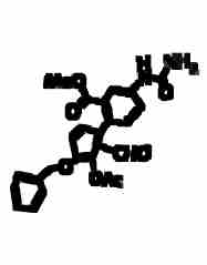 COC(=O)c1cc(NC(N)=O)ccc1-c1ccc(OCc2ccccc2)c(OC(C)=O)c1C=O